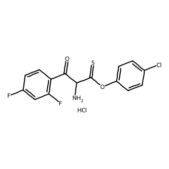 Cl.NC(C(=O)c1ccc(F)cc1F)C(=S)Oc1ccc(Cl)cc1